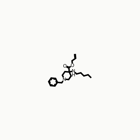 C=CCOC(=O)C1(NCCCCC)CCN(Cc2ccccc2)CC1